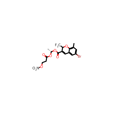 Cc1cc(Br)cc2c1OC(C(F)(F)F)C(C(=O)O[C@@H](C)OC(=O)CCO[N+](=O)[O-])=C2